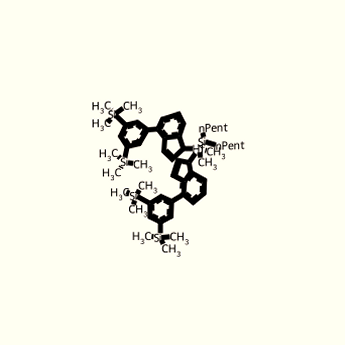 CCCCC[Si](CCCCC)=[Hf]([CH3])([CH3])([CH]1C=Cc2c(-c3cc([Si](C)(C)C)cc([Si](C)(C)C)c3)cccc21)[CH]1C=Cc2c(-c3cc([Si](C)(C)C)cc([Si](C)(C)C)c3)cccc21